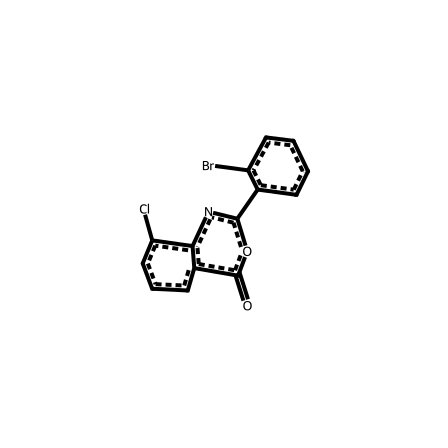 O=c1oc(-c2ccccc2Br)nc2c(Cl)cccc12